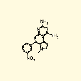 Cn1ccc2c3c(N)nc(N)nc3cc(-c3cccc([N+](=O)[O-])c3)c21